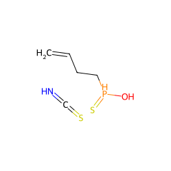 C=CCC[PH](O)=S.N=C=S